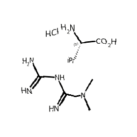 CC(C)[C@H](N)C(=O)O.CN(C)C(=N)NC(=N)N.Cl